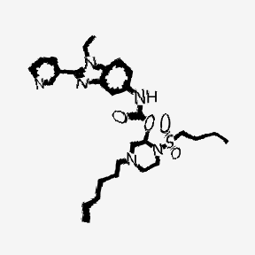 CCCCCCN1CCN(S(=O)(=O)CCCC)C(OC(=O)Nc2ccc3c(c2)nc(-c2cccnc2)n3CC)C1